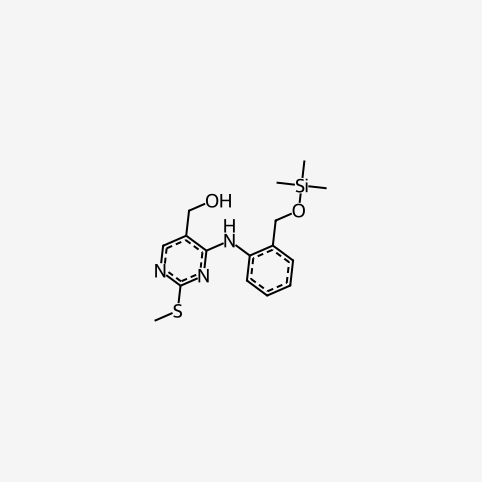 CSc1ncc(CO)c(Nc2ccccc2CO[Si](C)(C)C)n1